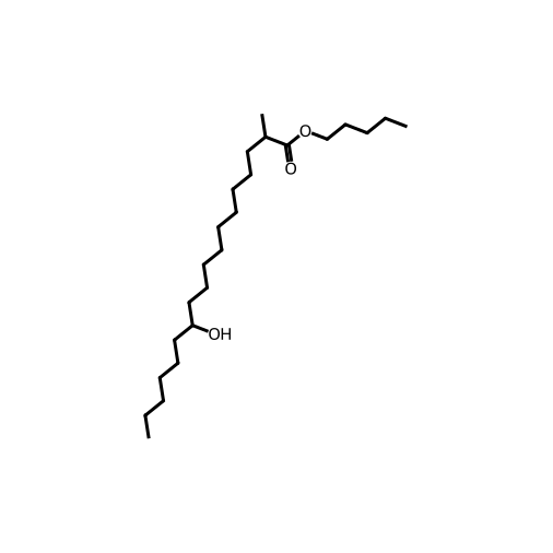 CCCCCCC(O)CCCCCCCCCC(C)C(=O)OCCCCC